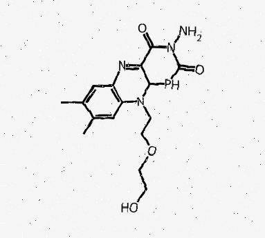 Cc1cc2c(cc1C)N(CCOCCO)C1PC(=O)N(N)C(=O)C1=N2